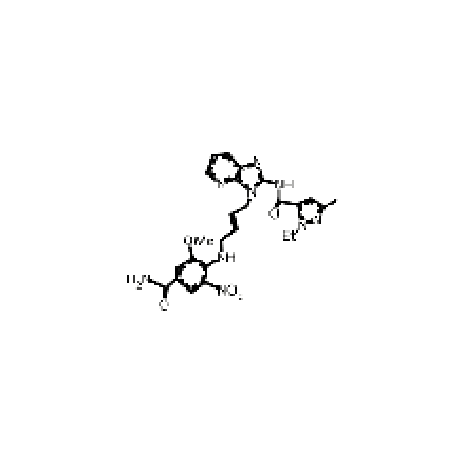 CCn1nc(C)cc1C(=O)Nc1nc2cccnc2n1CC=CCNc1c(OC)cc(C(N)=O)cc1[N+](=O)[O-]